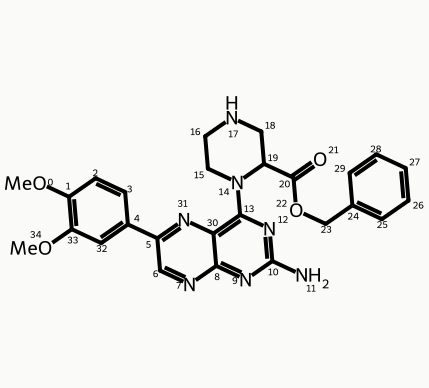 COc1ccc(-c2cnc3nc(N)nc(N4CCNCC4C(=O)OCc4ccccc4)c3n2)cc1OC